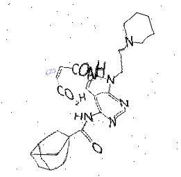 O=C(Nc1ncnc2c1cnn2CCN1CCCCC1)C12CC3CC(C1)C(C3)C2.O=C(O)/C=C\C(=O)O